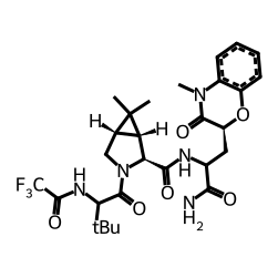 CN1C(=O)[C@H](CC(NC(=O)[C@@H]2[C@@H]3[C@H](CN2C(=O)C(NC(=O)C(F)(F)F)C(C)(C)C)C3(C)C)C(N)=O)Oc2ccccc21